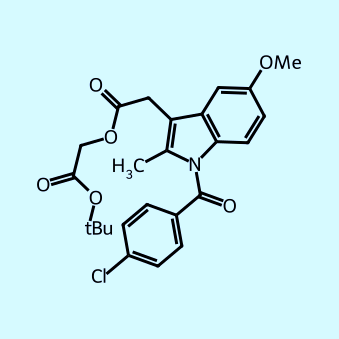 COc1ccc2c(c1)c(CC(=O)OCC(=O)OC(C)(C)C)c(C)n2C(=O)c1ccc(Cl)cc1